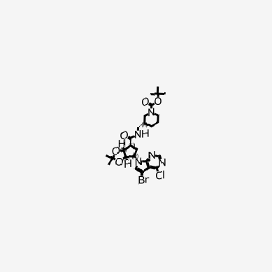 CC(C)(C)OC(=O)N1CCC[C@H](CNC(=O)[C@H]2C[C@@H](n3cc(Br)c4c(Cl)ncnc43)[C@@H]3OC(C)(C)O[C@@H]32)C1